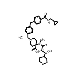 CCCCN1C(=O)[C@@H]([C@H](O)C2CCOCC2)NC(=O)C12CCN(Cc1ccc(Cc3ccc(C(=O)NCC4CC4)cc3)cc1)CC2.Cl